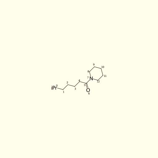 CC(C)CCCCC(=O)N1CCCCC1